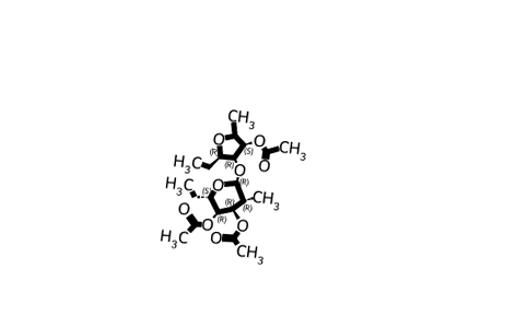 CC[C@@H]1O[C@H](O[C@@H]2[C@@H](CC)OC(C)[C@@H]2OC(C)=O)[C@H](C)[C@@H](OC(C)=O)[C@@H]1OC(C)=O